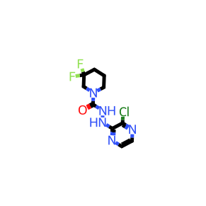 O=C(NNc1nccnc1Cl)N1CCCC(F)(F)C1